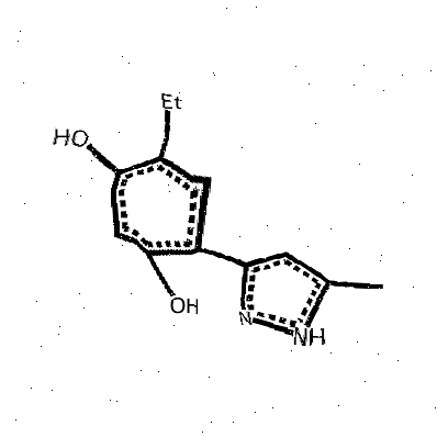 CCc1cc(-c2cc(C)[nH]n2)c(O)cc1O